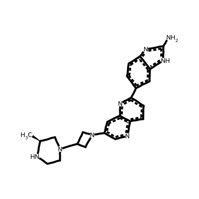 C[C@H]1CN(C2CN(c3cnc4ccc(-c5ccc6nc(N)[nH]c6c5)nc4c3)C2)CCN1